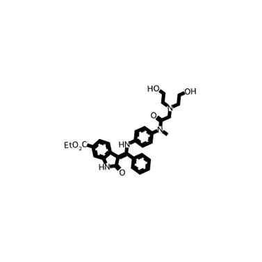 CCOC(=O)c1ccc2c(c1)NC(=O)C2=C(Nc1ccc(N(C)C(=O)CN(CCO)CCO)cc1)c1ccccc1